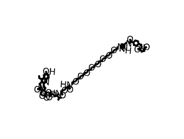 CCc1c2c(nc3ccc(O)cc13)-c1cc3c(c(=O)n1C2)COC(=O)C3OC(=O)OCC(NC(=O)COCC(=O)NCCOCCOCCOCCOCCOCCOCCOCCOCCn1cc(CNC(=O)C2CCC(CN3C(=O)C=CC3=O)CC2)nn1)C(C)C